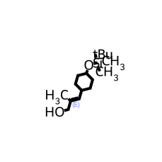 C/C(=C\C1CCC(O[Si](C)(C)C(C)(C)C)CC1)CO